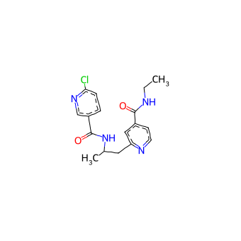 CCNC(=O)c1ccnc(CC(C)NC(=O)c2ccc(Cl)nc2)c1